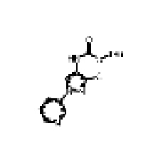 CC(C)(C)OC(=O)Nc1cn(-c2cccnc2)nc1Cl